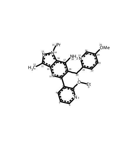 CCOc1ncccc1-c1nc2c(C)nn(C(C)C)c2c(N)c1Cc1ccc(OC)cn1